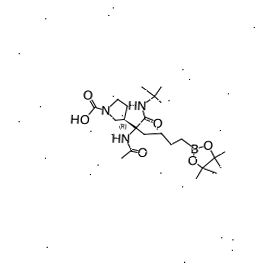 CC(=O)NC(CCCCB1OC(C)(C)C(C)(C)O1)(C(=O)NC(C)(C)C)[C@@H]1CCN(C(=O)O)C1